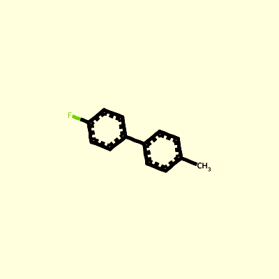 Cc1ccc(-c2c[c]c(F)cc2)cc1